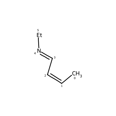 C/C=C\C=NCC